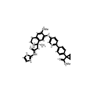 COC(=O)C1(c2ccc(-c3ccc(Oc4cc5c(cc4OC)CCN[C@]5(C)CC(=O)Nc4nccs4)cn3)cc2)CC1